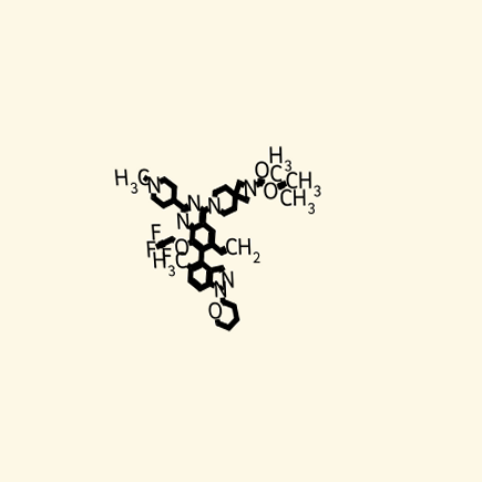 C=Cc1cc2c(N3CCC4(CC3)CN(C(=O)OC(C)(C)C)C4)nc(C3CCN(C)CC3)nc2c(OCC(F)(F)F)c1-c1c(C)ccc2c1cnn2C1CCCCO1